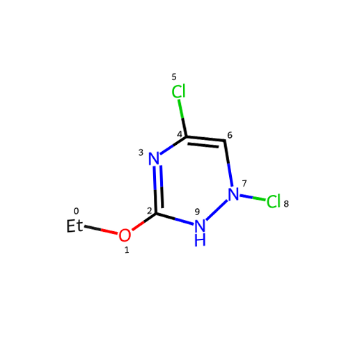 CCOC1=NC(Cl)=CN(Cl)N1